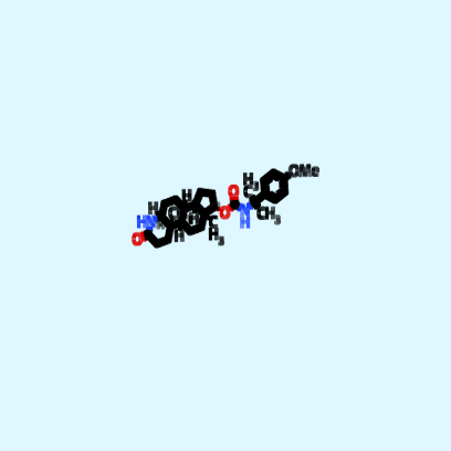 COc1ccc(C(C)(C)NC(=O)O[C@H]2CC[C@H]3[C@@H]4CC[C@H]5NC(=O)CC[C@]5(C)[C@H]4CC[C@]23C)cc1